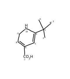 CC(C)(F)C1=CC(C(=O)O)=CCN1